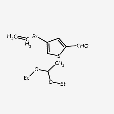 C=C.CCOC(C)OCC.O=Cc1cc(Br)cs1